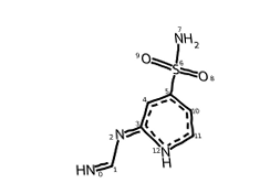 N=C/N=c1/cc(S(N)(=O)=O)cc[nH]1